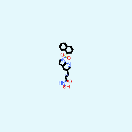 O=C(/C=C/c1cnc2c(c1)CCN2S(=O)(=O)c1cccc2ccccc12)NO